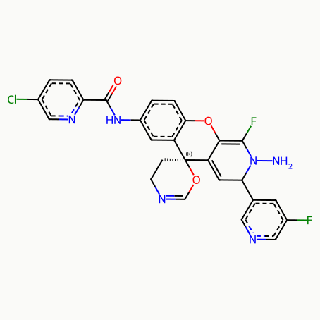 NN1C(F)=C2Oc3ccc(NC(=O)c4ccc(Cl)cn4)cc3[C@@]3(CCN=CO3)C2=CC1c1cncc(F)c1